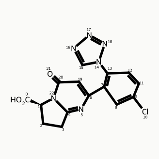 O=C(O)[C@@H]1CCc2nc(-c3cc(Cl)ccc3-n3cnnn3)cc(=O)n21